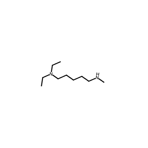 CCN(CC)CCCCCNC